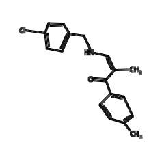 CC(=CNCc1ccc(Cl)cc1)C(=O)c1ccc(C)cc1